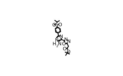 CC(C)S(=O)(=O)c1ccc(-c2cnc(N)c(-c3nnc(CC(=O)OC(C)(C)C)o3)n2)cc1